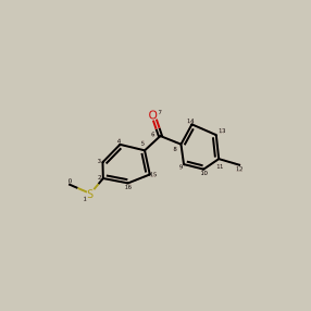 CSc1ccc(C(=O)c2ccc(C)cc2)cc1